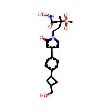 CC(CCn1ccc(-c2ccc(C3CC(CO)C3)cc2)cc1=O)(C(=O)NO)S(C)(=O)=O